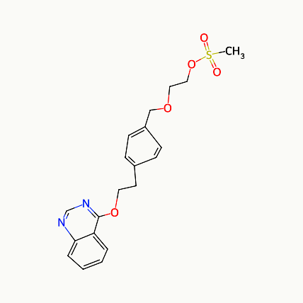 CS(=O)(=O)OCCOCc1ccc(CCOc2ncnc3ccccc23)cc1